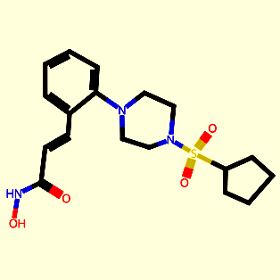 O=C(C=Cc1ccccc1N1CCN(S(=O)(=O)C2CCCC2)CC1)NO